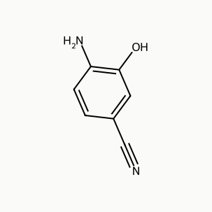 N#Cc1ccc(N)c(O)c1